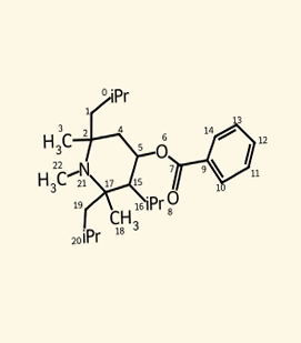 CC(C)CC1(C)CC(OC(=O)c2ccccc2)C(C(C)C)C(C)(CC(C)C)N1C